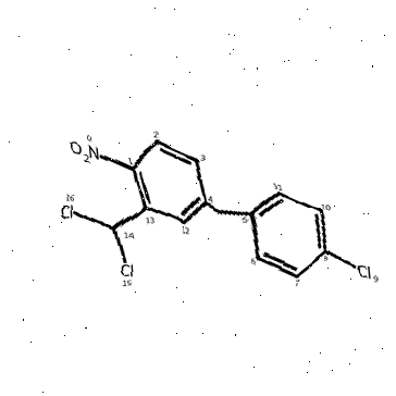 O=[N+]([O-])c1ccc(-c2ccc(Cl)cc2)cc1C(Cl)Cl